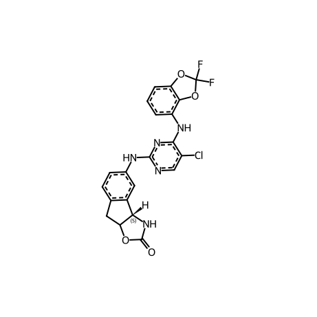 O=C1N[C@H]2c3cc(Nc4ncc(Cl)c(Nc5cccc6c5OC(F)(F)O6)n4)ccc3CC2O1